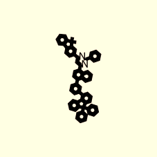 CC1(C)c2ccccc2-c2ccc(-c3cc(-c4ccc(-c5cccc(-c6cccc7c6-c6ccccc6C7(c6ccccc6)c6ccccc6)c5)c5ccccc45)nc(-c4ccccc4)n3)cc21